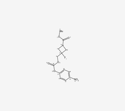 CC(C)(C)OC(=O)N1CC(F)(COC(=O)Oc2ccc([N+](=O)[O-])cc2)C1